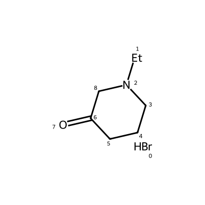 Br.CCN1CCCC(=O)C1